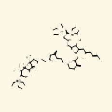 C=N[C@@]12C[C@@H](CC[C@H]3CC(=C)C(CC[C@H]4C[C@@H](C)C(=C)C(C[C@@H]5OC(C[C@@H](CO[Si](CC)(CC)CC)O[Si](CC)(CC)CC)[C@H](OC)C5CC(O)C/C=C/C)O4)O3)O[C@@H]1C1OCC(O[Si](CC)(CC)CC)[C@H](OC)[C@@H]1O2